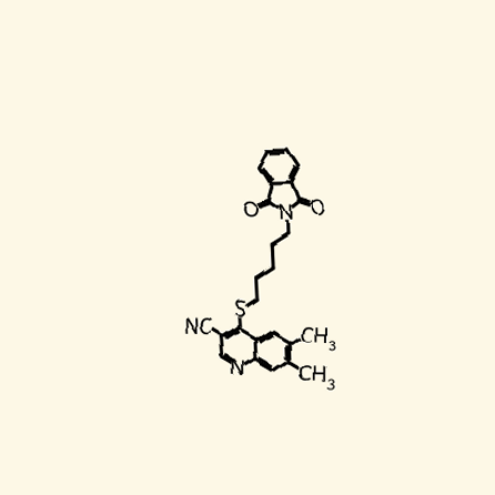 Cc1cc2ncc(C#N)c(SCCCCCN3C(=O)c4ccccc4C3=O)c2cc1C